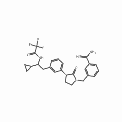 N=C(N)c1cccc(CN2CC[C@@H](c3cccc(CC(NC(=O)C(F)(F)F)C4CC4)c3)C2=O)c1